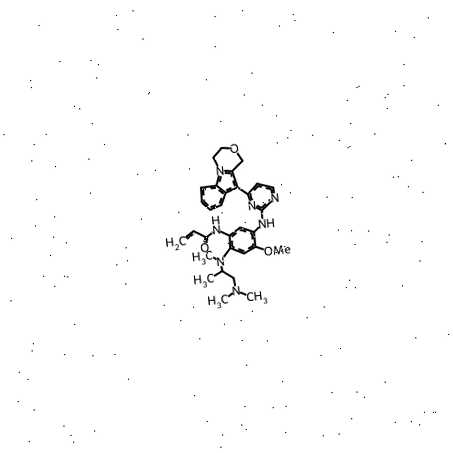 C=CC(=O)Nc1cc(Nc2nccc(-c3c4n(c5ccccc35)CCOC4)n2)c(OC)cc1N(C)C(C)CN(C)C